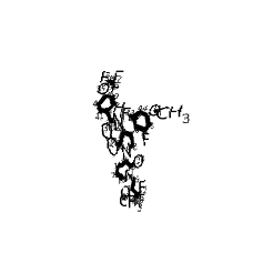 COc1cc(F)c([C@@H]2CN(c3cccn(CC(OC)C(F)(F)F)c3=O)C(=O)[C@H]2NC(=O)c2ccc(OC(F)(F)F)cc2)c(F)c1